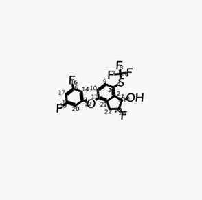 O[C@H]1c2c(SC(F)(F)F)ccc(Oc3cc(F)cc(F)c3)c2C[C@H]1F